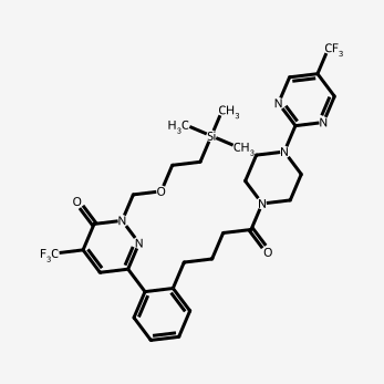 C[Si](C)(C)CCOCn1nc(-c2ccccc2CCCC(=O)N2CCN(c3ncc(C(F)(F)F)cn3)CC2)cc(C(F)(F)F)c1=O